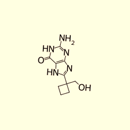 Nc1nc2nc(C3(CO)CCC3)[nH]c2c(=O)[nH]1